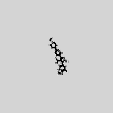 CCN1CCC(c2ccc(-c3n[nH]c(-c4cc(C)c5ncnn5c4)c3C(C)C)cn2)CC1